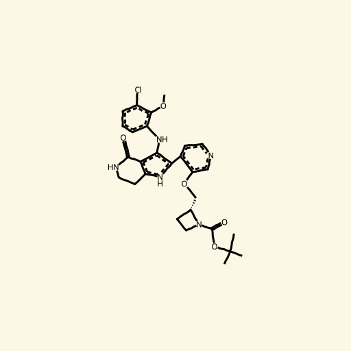 COc1c(Cl)cccc1Nc1c(-c2ccncc2OC[C@H]2CCN2C(=O)OC(C)(C)C)[nH]c2c1C(=O)NCC2